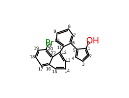 OC1=C=CC=C1c1ccccc1-c1cccc2cccc(Br)c12